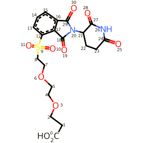 O=C(O)CCOCCOCCS(=O)(=O)c1cccc2c1C(=O)N(C1CCC(=O)NC1=O)C2=O